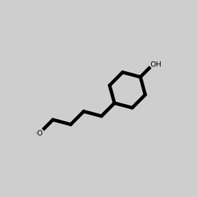 [O]CCCCC1CCC(O)CC1